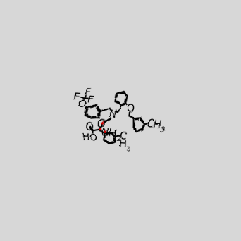 Cc1cccc(COc2ccccc2CN(CC[C@H](N)C(=O)O)Cc2cc(OC(F)(F)F)ccc2OCc2cccc(C)c2)c1